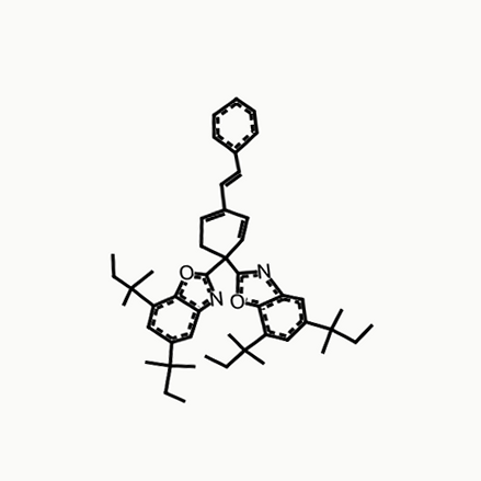 CCC(C)(C)c1cc(C(C)(C)CC)c2oc(C3(c4nc5cc(C(C)(C)CC)cc(C(C)(C)CC)c5o4)C=CC(C=Cc4ccccc4)=CC3)nc2c1